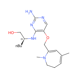 CCCC[C@@H](CO)Nc1nc(N)ncc1OCC1=CC(C)=CCCN1C